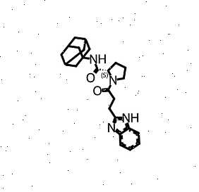 O=C(NC12CC3CC(CC(C3)C1)C2)[C@@H]1CCCN1C(=O)CCc1nc2ccccc2[nH]1